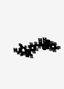 C=C(C)/C=c1\c(=C(\C)N)nc(C)n1-c1ccc(CCNC(=O)NS(=O)(=O)c2ccc(C)cc2)cc1